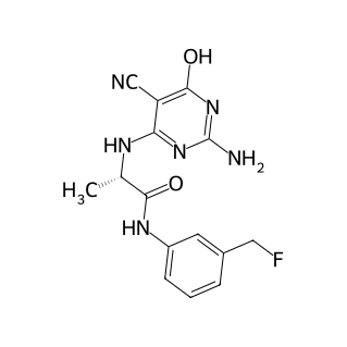 C[C@H](Nc1nc(N)nc(O)c1C#N)C(=O)Nc1cccc(CF)c1